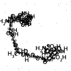 CC(C)(CCOC(=O)NCCOCCOCCNC(=O)c1ccc(C(=O)O)c(-c2c3ccc(=N)c(S(=O)(=O)O)c-3oc3c(S(=O)(=O)O)c(N)ccc23)c1)SSCOCCCCCNC(=O)NCC#Cc1cn([C@H]2CC(OCN)[C@@H](COP(=O)(O)OP(=O)(O)OP(=O)(O)O)O2)c(=O)nc1N